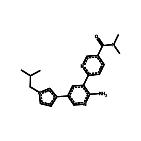 CC(C)Cn1ccc(-c2cnc(N)c(-c3ccc(C(=O)N(C)C)cn3)c2)c1